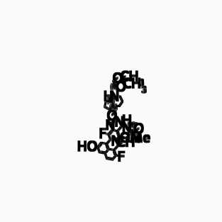 C#Cc1c(F)ccc2cc(O)cc(-c3nc(OC)c4c(N5C[C@H]6C[C@@H]5CO6)nc(OC[C@]56CCC[C@H]5N(C[C@@H]5COC(C)(C)O5)CCC6)nc4c3F)c12